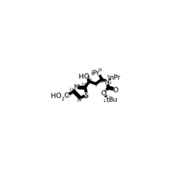 CCCN(C(=O)OC(C)(C)C)C(CC(O)c1nc(C(=O)O)cs1)C(C)C